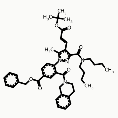 CCCCN(CCCC)C(=O)c1nn(-c2ccc(C(=O)OCc3ccccc3)cc2C(=O)N2CCc3ccccc3C2)c(C)c1/C=C/C(=O)OC(C)(C)C